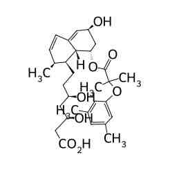 Cc1cc(C)cc(OC(C)(C)C(=O)O[C@H]2C[C@H](O)C=C3C=C[C@H](C)[C@H](CC[C@@H](O)C[C@@H](O)CC(=O)O)[C@H]32)c1